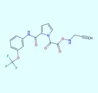 C#CCNOC(=O)C(=O)n1cccc1C(=O)Nc1cccc(OC(F)(F)F)c1